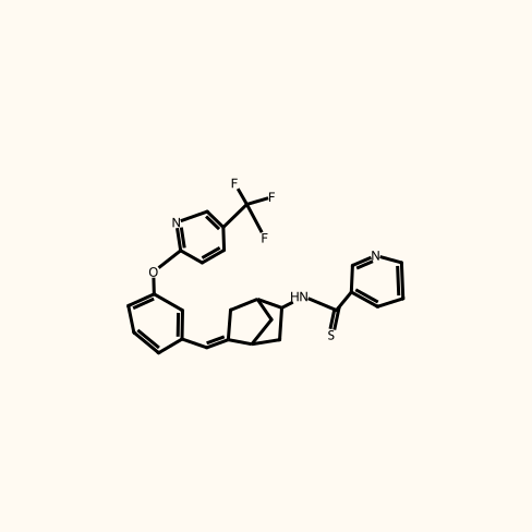 FC(F)(F)c1ccc(Oc2cccc(C=C3CC4CC3CC4NC(=S)c3cccnc3)c2)nc1